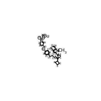 Cn1c(-c2ncc(C3CCC3)n2CCCc2ccc(OC[C@H]3CCN(C(=O)OC(C)(C)C)C3)cc2)cc2sccc21